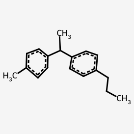 CCCc1ccc(C(C)c2ccc(C)cc2)cc1